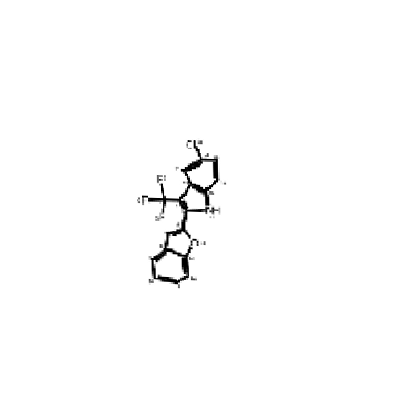 FC(F)(F)c1c(-c2cc3ccccc3o2)[nH]c2ccc(Cl)cc12